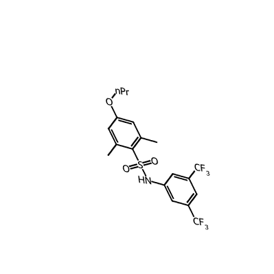 CCCOc1cc(C)c(S(=O)(=O)Nc2cc(C(F)(F)F)cc(C(F)(F)F)c2)c(C)c1